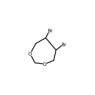 BrC1COCOCC1Br